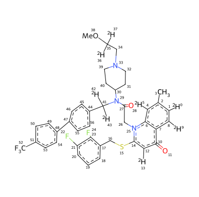 [2H]c1c(C)c([2H])c2c(c1[2H])c(=O)c([2H])c(SCc1cccc(F)c1F)n2CC(=O)N(C1CCN(CC([2H])([2H])OC)CC1)C([2H])([2H])c1ccc(-c2ccc(C(F)(F)F)cc2)cc1